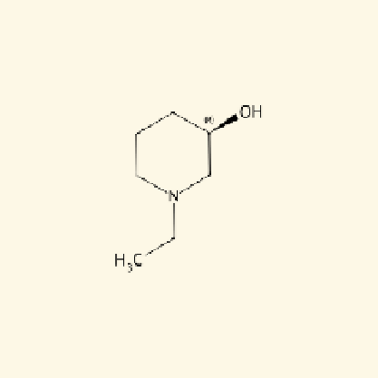 CCN1CCC[C@@H](O)C1